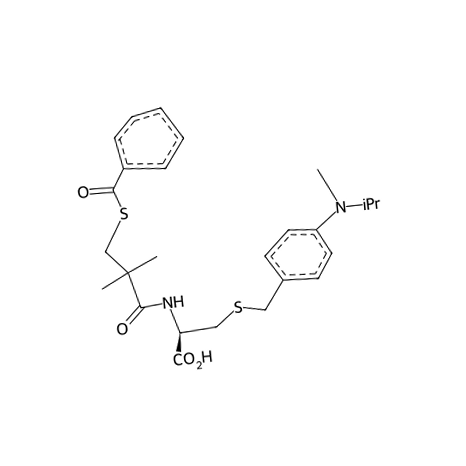 CC(C)N(C)c1ccc(CSC[C@H](NC(=O)C(C)(C)CSC(=O)c2ccccc2)C(=O)O)cc1